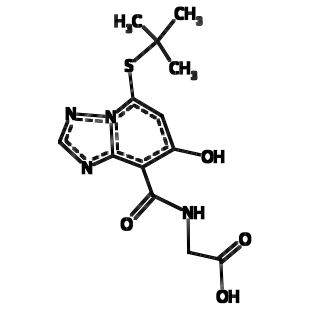 CC(C)(C)Sc1cc(O)c(C(=O)NCC(=O)O)c2ncnn12